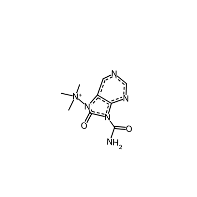 C[N+](C)(C)n1c(=O)n(C(N)=O)c2ncncc21